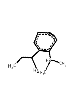 CCC(S)c1ccccc1[SiH](C)C